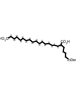 CCCCCCCCCCCCCCC(CCCCCCCCCCCCCCCCC(=O)O)C(=O)O